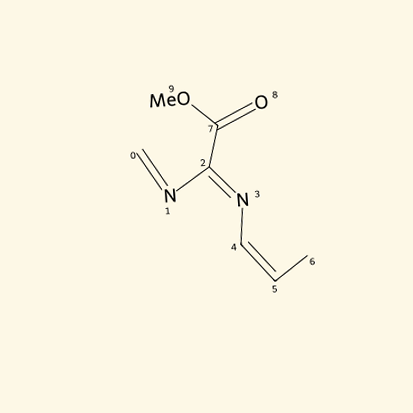 C=N/C(=N\C=C/C)C(=O)OC